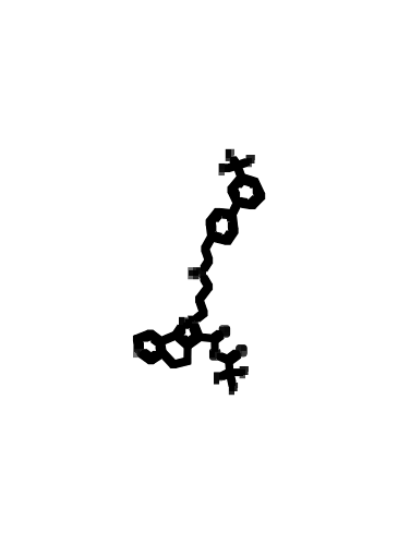 O=C(OC(=O)C(F)(F)F)c1c2c(nn1CCCNCCc1ccc(-c3cccc(C(F)(F)F)c3)cc1)-c1ccncc1CC2